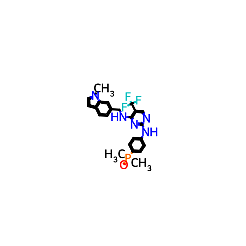 Cn1ccc2ccc(CNc3nc(Nc4ccc(P(C)(C)=O)cc4)ncc3C(F)(F)F)cc21